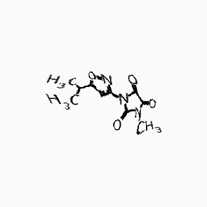 CC(C)c1cc(N2C(=O)C(=O)N(C)C2=O)no1